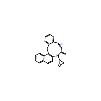 C=C1/C=C\c2ccccc2Cc2c(ccc3ccccc23)N1C1CO1